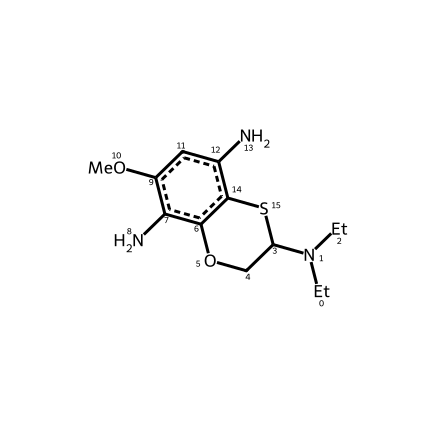 CCN(CC)C1COc2c(N)c(OC)cc(N)c2S1